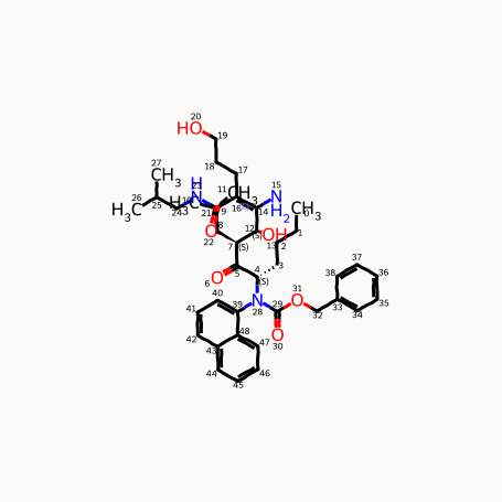 CCCC[C@@H](C(=O)[C@@H](CC(C)C)[C@H](O)/C(N)=C(/CCCO)C(=O)NCC(C)C)N(C(=O)OCc1ccccc1)c1cccc2ccccc12